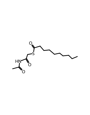 CCCCCCCCCC(=O)SCC(=O)NC(C)=O